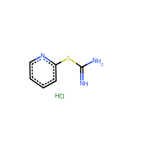 Cl.N=C(N)Sc1ccccn1